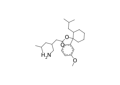 COc1cccc(C2(OC(=O)CC(CN)CC(C)C)CCCCC2CC(C)C)c1